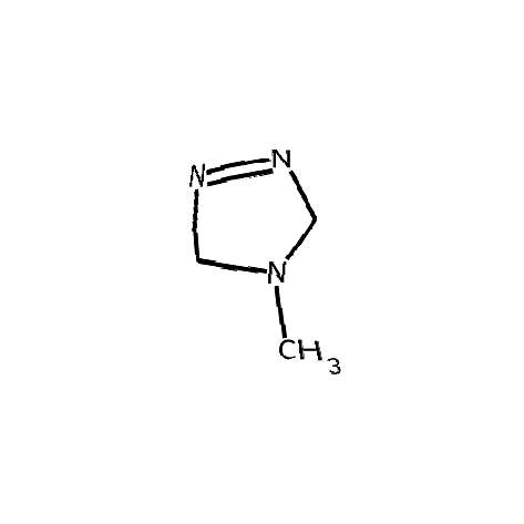 CN1CN=NC1